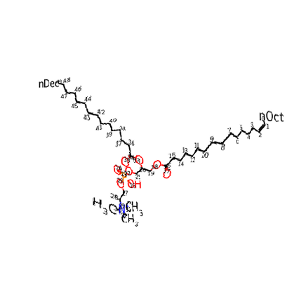 CCCCCCCC/C=C\CCCCCCCCCCCCCC(=O)OCC(COP(=O)(O)OCC[N+](C)(C)C)OC(=O)CCCCCCCCCCCCCCCCCCCCCCC